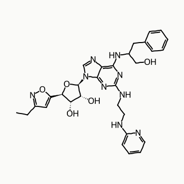 CCc1cc([C@H]2O[C@@H](n3cnc4c(NC(CO)Cc5ccccc5)nc(NCCNc5ccccn5)nc43)[C@H](O)[C@@H]2O)on1